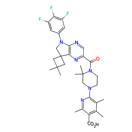 Cc1nc(N2CCN(C(=O)c3cnc4c(n3)C3(CN4c4cc(F)c(F)c(F)c4)CC(C)(C)C3)C(C)(C)C2)c(C)c(C)c1C(=O)O